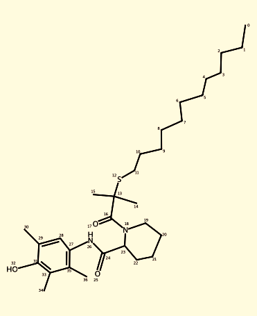 CCCCCCCCCCCCSC(C)(C)C(=O)N1CCCCC1C(=O)Nc1cc(C)c(O)c(C)c1C